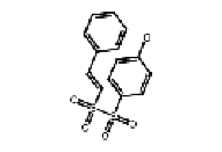 O=S(=O)(C=Cc1ccccc1)S(=O)(=O)c1ccc(Cl)cc1